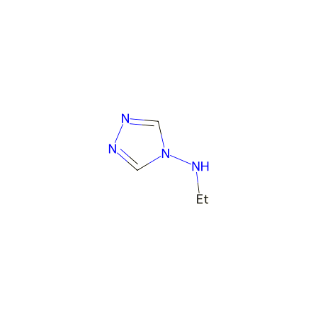 CCNn1cnnc1